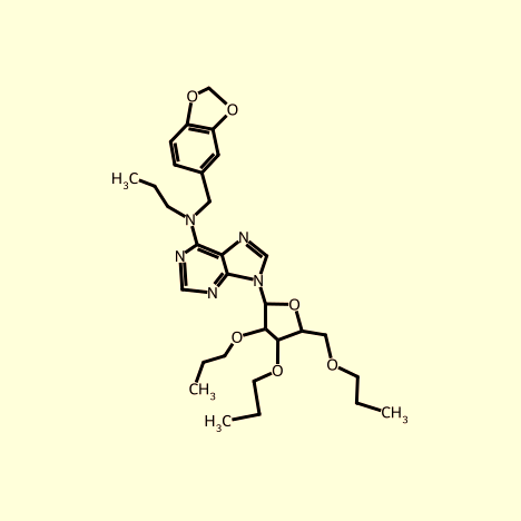 CCCOCC1OC(n2cnc3c(N(CCC)Cc4ccc5c(c4)OCO5)ncnc32)C(OCCC)C1OCCC